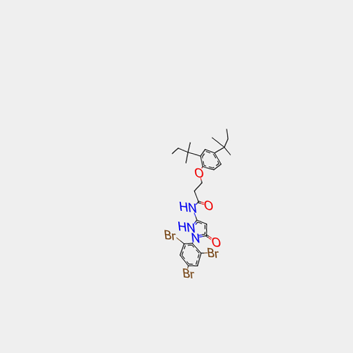 CCC(C)(C)c1ccc(OCCC(=O)Nc2cc(=O)n(-c3c(Br)cc(Br)cc3Br)[nH]2)c(C(C)(C)CC)c1